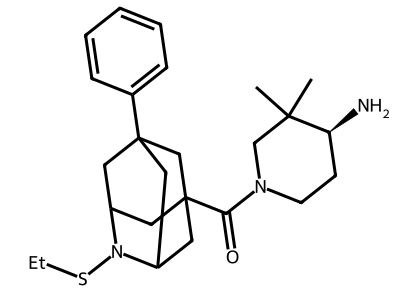 CCSN1C2CC3(C(=O)N4CC[C@H](N)C(C)(C)C4)CC1CC(c1ccccc1)(C2)C3